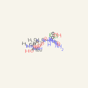 Cc1ncsc1-c1ccc([C@H](C)NC(=O)[C@@H]2C[C@@H](O)CN2C(=O)[C@@H](NC(=O)COCCOCCN(C)C(=O)CCNc2nc(N3CCN(C(N)=O)CC3)c3cc(Cl)c(-c4c(O)cccc4F)c(F)c3n2)C(C)(C)C)cc1